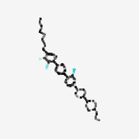 CCCCCCCCc1ccc(-c2ccc(-c3ccc(C4CCC(C5CCC(CCC)CC5)CC4)cc3F)cc2)c(F)c1F